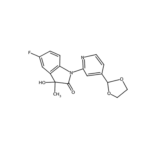 CC1(O)C(=O)N(c2cc(C3OCCO3)ccn2)c2ccc(F)cc21